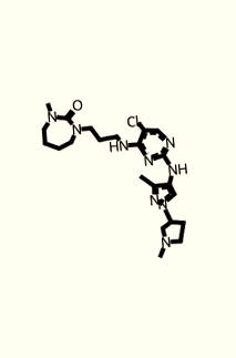 Cc1nn(C2CCN(C)C2)cc1Nc1ncc(Cl)c(NCCCN2CCCCN(C)C2=O)n1